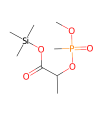 COP(C)(=O)OC(C)C(=O)O[Si](C)(C)C